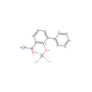 NC(=O)c1cccc(-c2ccccc2)c1OC(F)(F)F